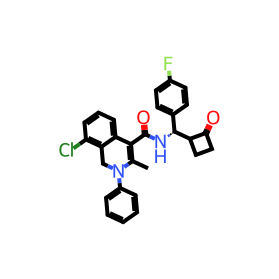 CC1=C(C(=O)N[C@H](c2ccc(F)cc2)C2CCC2=O)c2cccc(Cl)c2CN1c1ccccc1